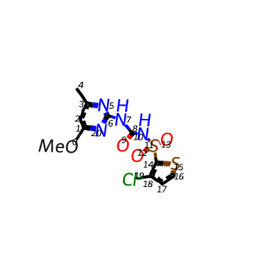 COc1cc(C)nc(NC(=O)NS(=O)(=O)c2sccc2Cl)n1